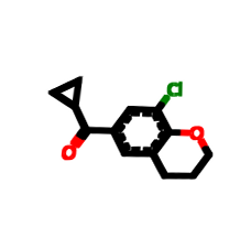 O=C(c1cc(Cl)c2c(c1)CCCO2)C1CC1